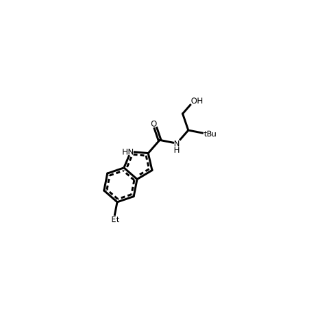 CCc1ccc2[nH]c(C(=O)NC(CO)C(C)(C)C)cc2c1